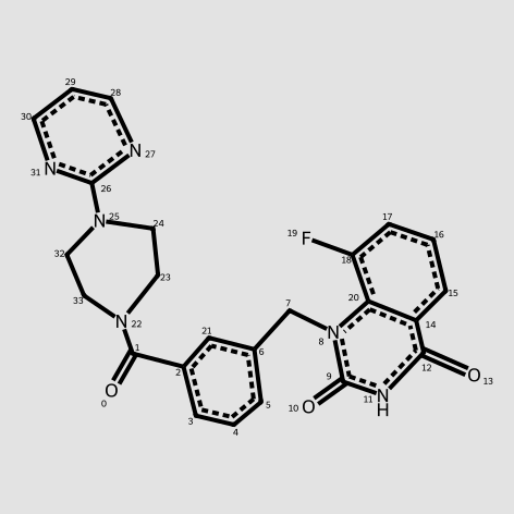 O=C(c1cccc(Cn2c(=O)[nH]c(=O)c3cccc(F)c32)c1)N1CCN(c2ncccn2)CC1